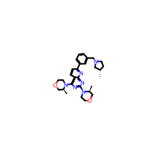 C[C@H]1CCN(Cc2cccc(-c3ccc4c(N5CCOC[C@@H]5C)nc(N5CCOC[C@@H]5C)nc4n3)c2)C1